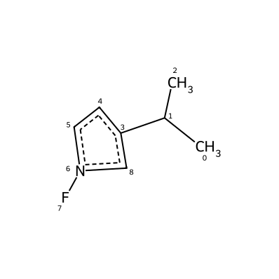 CC(C)c1ccn(F)c1